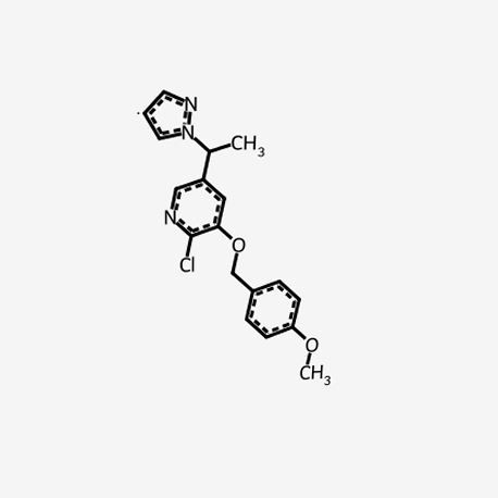 COc1ccc(COc2cc(C(C)n3c[c]cn3)cnc2Cl)cc1